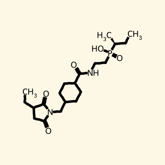 CCC1CC(=O)N(CC2CCC(C(=O)NCCP(=O)(O)[C@@H](C)CC)CC2)C1=O